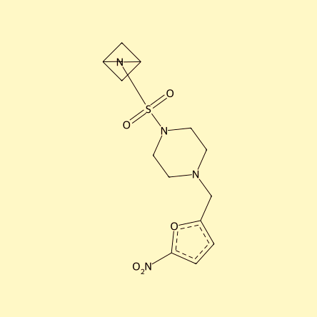 O=[N+]([O-])c1ccc(CN2CCN(S(=O)(=O)N3CC4CC3C4)CC2)o1